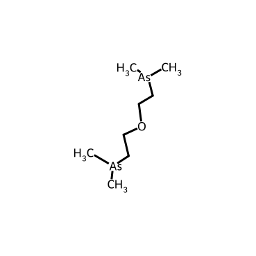 C[As](C)CCOCC[As](C)C